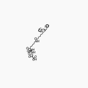 O=C(O)CCC(NC(=O)NC(CCCCCNC(=O)CCCCCCCN(Cc1ccccn1)Cc1ccccn1)C(=O)O)C(=O)O